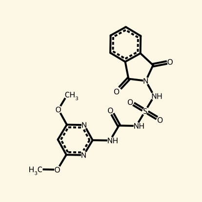 COc1cc(OC)nc(NC(=O)NS(=O)(=O)NN2C(=O)c3ccccc3C2=O)n1